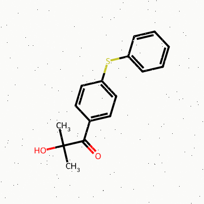 CC(C)(O)C(=O)c1ccc(Sc2ccccc2)cc1